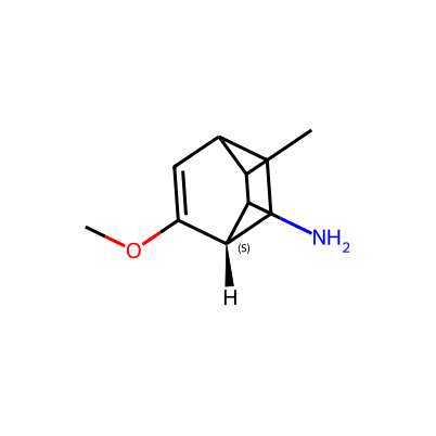 COC1=CC2CC[C@H]1C(N)C2C